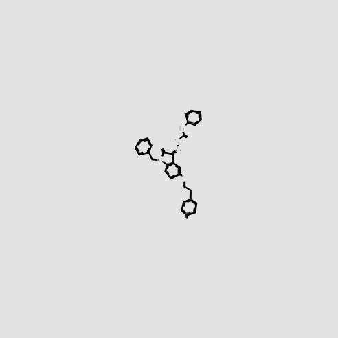 O=C(N/N=C1\C(=O)N(Cc2ccccc2)c2ccc(SCCc3ccc(C(=O)O)cc3)cc21)Nc1ccccc1